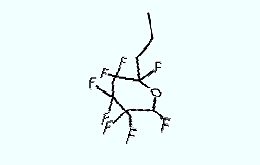 CCCC1(F)OC(F)C(F)(F)C(F)(F)C1(F)F